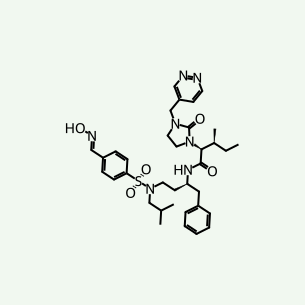 CC[C@H](C)[C@@H](C(=O)N[C@H](CCN(CC(C)C)S(=O)(=O)c1ccc(/C=N/O)cc1)Cc1ccccc1)N1CCN(Cc2ccnnc2)C1=O